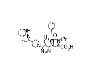 Cc1c(NC[C@@H](C(=O)O)N(C(=O)OCc2ccccc2)C(C)C)ncnc1N1CCC(c2ccc3c(n2)NCCC3)CC1